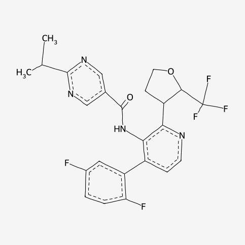 CC(C)c1ncc(C(=O)Nc2c(-c3cc(F)ccc3F)ccnc2C2CCOC2C(F)(F)F)cn1